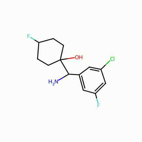 NC(c1cc(F)cc(Cl)c1)C1(O)CCC(F)CC1